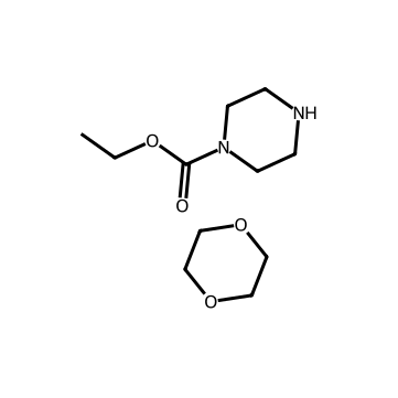 C1COCCO1.CCOC(=O)N1CCNCC1